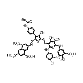 Cc1c(C#N)c(Nc2ccc(Cl)c(S(=O)(=O)O)c2)nc(Nc2ccc(Cl)c(S(=O)(=O)O)c2)c1N=Nc1sc(/N=N/c2cc(S(=O)(=O)O)c3cc(S(=O)(=O)O)cc(S(=O)(=O)O)c3c2)c(-c2ccc(NC(=O)C(C)(C)C)cc2)c1C#N